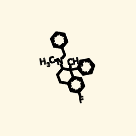 CN(Cc1ccccc1)C1CCc2cc(F)ccc2C1(C)c1ccccc1